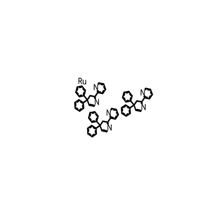 C1=CC(c2ccccc2)(c2ccccc2)CC(c2ccccn2)=N1.C1=CC(c2ccccc2)(c2ccccc2)CC(c2ccccn2)=N1.C1=CC(c2ccccc2)(c2ccccc2)CC(c2ccccn2)=N1.[Ru]